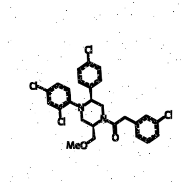 COC[C@H]1CN(c2ccc(Cl)cc2Cl)[C@@H](c2ccc(Cl)cc2)CN1C(=O)Cc1cccc(Cl)c1